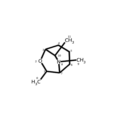 CC1OC2CCCC1N(C)C2C